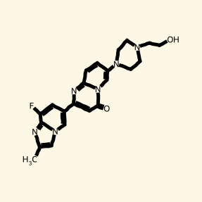 Cc1cn2cc(-c3cc(=O)n4cc(N5CCN(CCO)CC5)ccc4n3)cc(F)c2n1